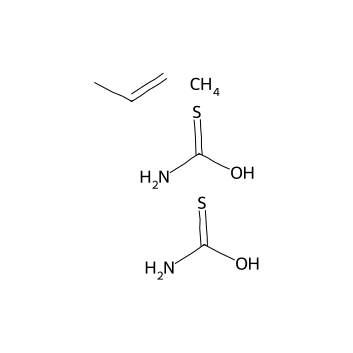 C.C=CC.NC(O)=S.NC(O)=S